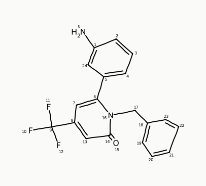 Nc1cccc(-c2cc(C(F)(F)F)cc(=O)n2Cc2ccccc2)c1